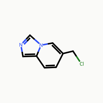 ClCc1ccc2cncn2c1